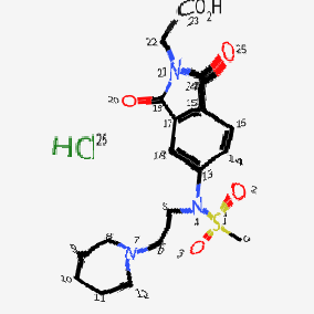 CS(=O)(=O)N(CCN1CCCCC1)c1ccc2c(c1)C(=O)N(CC(=O)O)C2=O.Cl